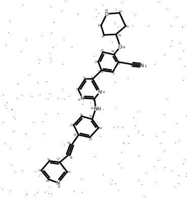 N#Cc1cc(-c2ccnc(Nc3ccc(C#Cc4cccnc4)cc3)n2)ccc1OC1CCOCC1